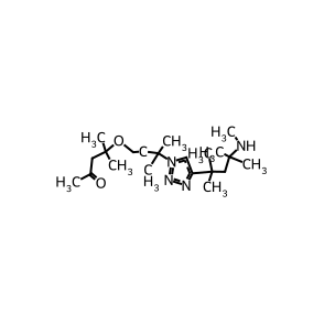 CNC(C)(C)CC(C)(C)c1cn(C(C)(C)CCOC(C)(C)CC(C)=O)nn1